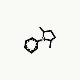 CC1CCC(C)N1c1ccccc1